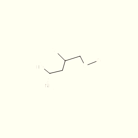 CCOCC(C)C[C@H](N)O